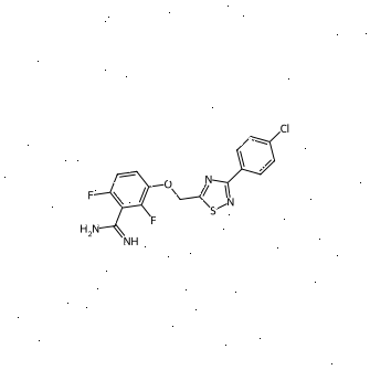 N=C(N)c1c(F)ccc(OCc2nc(-c3ccc(Cl)cc3)ns2)c1F